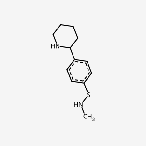 CNSc1ccc(C2CCCCN2)cc1